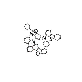 c1ccc(-c2nc3c(N(c4ccc5oc6ccccc6c5c4)c4ccccc4-c4ccccc4)cc(N(c4ccccc4)c4cccc5c4sc4ccccc45)cc3o2)cc1